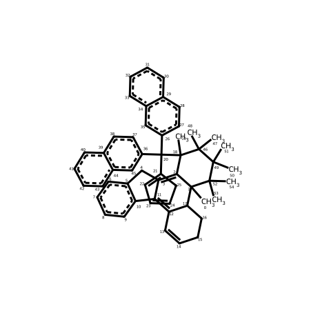 CC12C(=C3Cc4ccccc4C3=C3C=CCCC31)C(C)(C(C1=CC=CC1)(c1ccc3ccccc3c1)c1ccc3ccccc3c1)C(C)(C)C(C)(C)C2(C)C